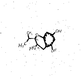 CC(C)[C@H]1Oc2cc(O)cc(O)c2C[C@H]1O